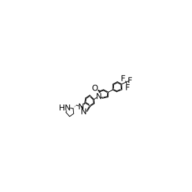 O=c1cc(-c2ccc(C(F)(F)F)cc2)ccn1-c1ccc2c(cnn2C[C@@H]2CCCN2)c1